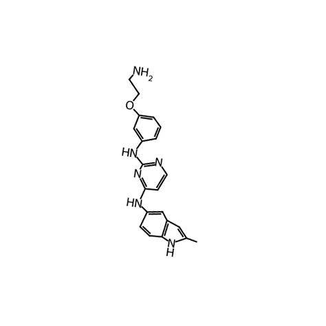 Cc1cc2cc(Nc3ccnc(Nc4cccc(OCCN)c4)n3)ccc2[nH]1